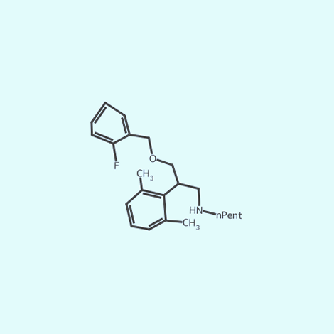 CCCCCNCC(COCc1ccccc1F)c1c(C)cccc1C